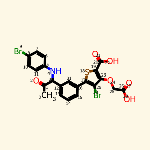 CC(=O)C(Nc1ccc(Br)cc1)c1cccc(-c2sc(C(=O)O)c(OCC(=O)O)c2Br)c1